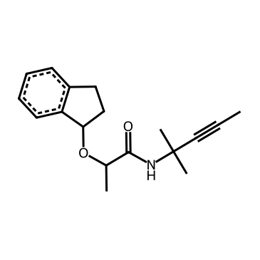 CC#CC(C)(C)NC(=O)C(C)OC1CCc2ccccc21